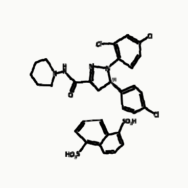 O=C(NN1CCCCC1)C1=NN(c2ccc(Cl)cc2Cl)[C@@H](c2ccc(Cl)cc2)C1.O=S(=O)(O)c1cccc2c(S(=O)(=O)O)cccc12